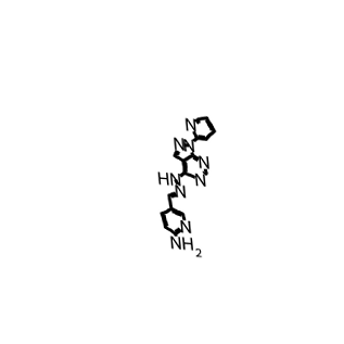 Nc1ccc(/C=N/Nc2ncnc3c2cnn3-c2ccccn2)cn1